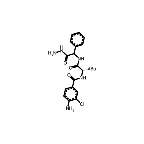 CC(C)(C)[C@H](NC(=O)c1ccc(N)c(Cl)c1)C(=O)NC(C(=O)NN)c1ccccc1